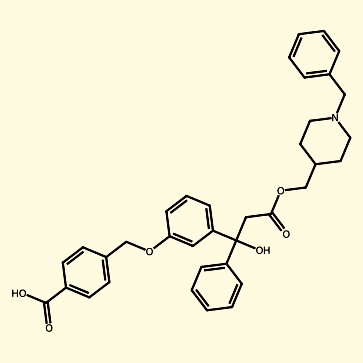 O=C(CC(O)(c1ccccc1)c1cccc(OCc2ccc(C(=O)O)cc2)c1)OCC1CCN(Cc2ccccc2)CC1